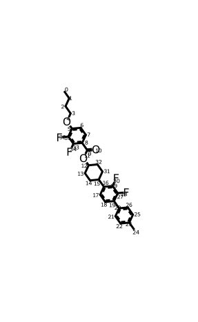 CCCCOc1ccc(C(=O)OC2CCC(c3ccc(-c4ccc(C)cc4)c(F)c3F)CC2)c(F)c1F